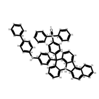 O=P(c1ccccc1)(c1ccccc1)c1ccc(C2(c3ccc(Sc4ccc(-c5ccccc5)cc4)cc3)c3ccccc3-n3c4ccc5ccccc5c4c4cccc2c43)cc1